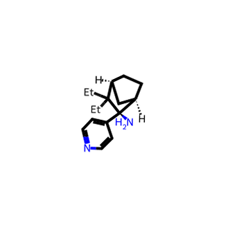 CCC1(CC)[C@H]2CC[C@H](C2)[C@]1(N)c1ccncc1